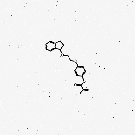 C=C(C)C(=O)Oc1ccc(OCCOC2CCc3ccccc32)cc1